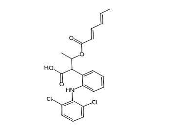 C/C=C/C=C/C(=O)OC(C)C(C(=O)O)c1ccccc1Nc1c(Cl)cccc1Cl